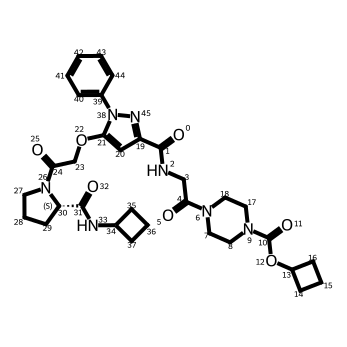 O=C(NCC(=O)N1CCN(C(=O)OC2CCC2)CC1)c1cc(OCC(=O)N2CCC[C@H]2C(=O)NC2CCC2)n(-c2ccccc2)n1